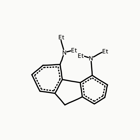 CCN(CC)c1cccc2c1-c1c(cccc1N(CC)CC)C2